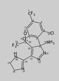 NC1(c2c(Cl)cc(C(F)(F)F)cc2Cl)N=NC(C2=NCCN2)=C1[S+]([O-])C(F)(F)F